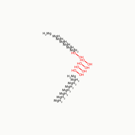 OO.OO.OO.OO.OO.[MgH2].[MgH2].[MgH2].[MgH2].[MgH2].[MgH2].[MgH2].[MgH2].[MgH2].[MgH2].[MgH2].[MgH2].[MgH2].[MgH2].[MgH2]